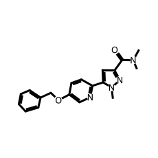 CN(C)C(=O)c1cc(-c2ccc(OCc3ccccc3)cn2)n(C)n1